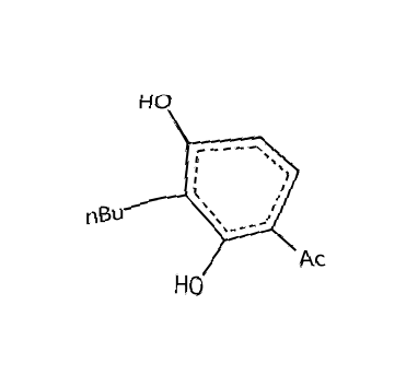 CCCCc1c(O)ccc(C(C)=O)c1O